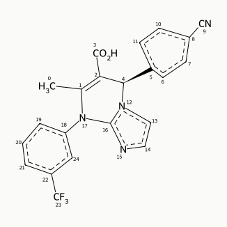 CC1=C(C(=O)O)[C@@H](c2ccc(C#N)cc2)n2ccnc2N1c1cccc(C(F)(F)F)c1